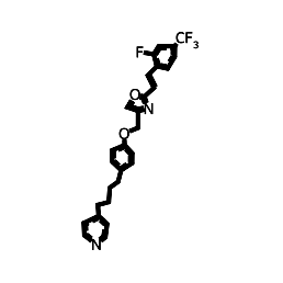 Fc1cc(C(F)(F)F)ccc1C=Cc1nc(COc2ccc(CCCCc3ccncc3)cc2)co1